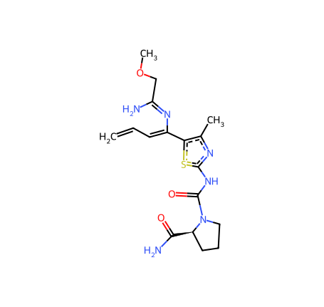 C=C/C=C(\N=C(/N)COC)c1sc(NC(=O)N2CCC[C@H]2C(N)=O)nc1C